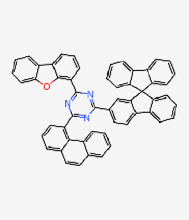 c1ccc2c(c1)-c1ccccc1C21c2ccccc2-c2ccc(-c3nc(-c4cccc5c4oc4ccccc45)nc(-c4cccc5ccc6ccccc6c45)n3)cc21